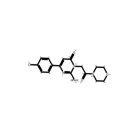 CCCCCc1nc(-c2ccc(Cl)cc2)cc(=O)n1CC(=O)N1CCOCC1